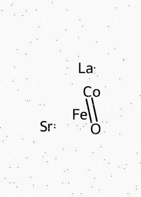 [Fe].[La].[O]=[Co].[Sr]